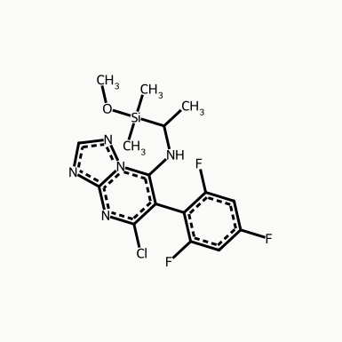 CO[Si](C)(C)C(C)Nc1c(-c2c(F)cc(F)cc2F)c(Cl)nc2ncnn12